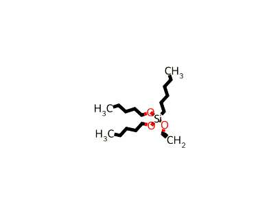 C=CO[Si](CCCCCC)(OCCCCC)OCCCCC